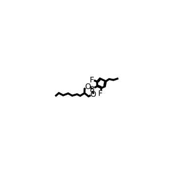 CCCCCCCC1COB(c2c(F)cc(CCC)cc2F)OC1